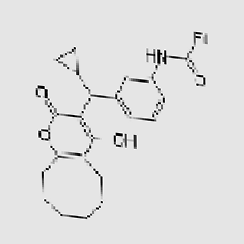 [CH2]CC(=O)Nc1cccc(C(c2c(O)c3c(oc2=O)CCCCCC3)C2CC2)c1